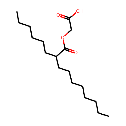 CCCCCCCCC(CCCCCC)C(=O)OCC(=O)O